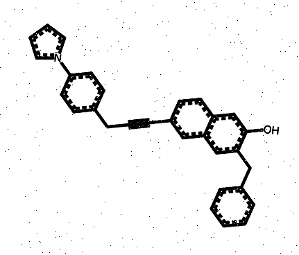 Oc1cc2ccc(C#CCc3ccc(-n4cccc4)cc3)cc2cc1Cc1ccccc1